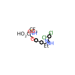 CCC(c1ccc(-c2ccc(OCC[C@H](NS(=O)(=O)C(F)(F)F)C(=O)O)cc2)cc1)c1nc(-c2ccc(Cl)cc2Cl)c[nH]1